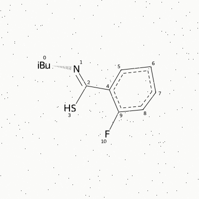 CC[C@@H](C)/N=C(\S)c1ccccc1F